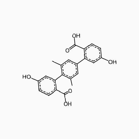 Cc1cc(-c2cc(O)ccc2C(=O)O)cc(C)c1-c1cc(O)ccc1C(=O)O